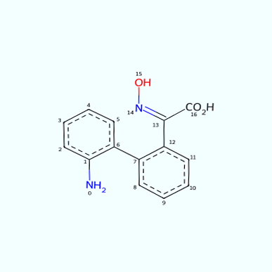 Nc1ccccc1-c1ccccc1C(=NO)C(=O)O